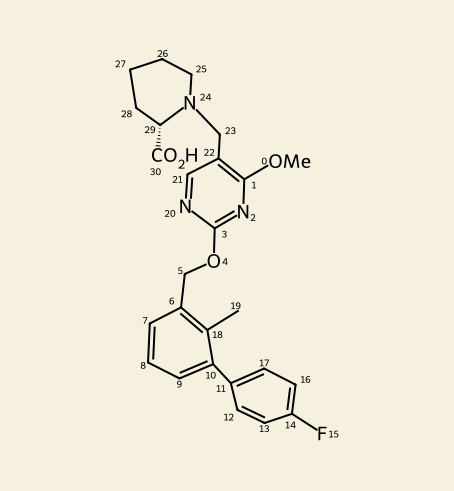 COc1nc(OCc2cccc(-c3ccc(F)cc3)c2C)ncc1CN1CCCC[C@H]1C(=O)O